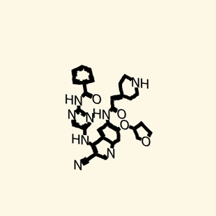 N#CC1=C(Nc2cnc(NC(=O)c3ccccc3)nc2)C2=CC(NC(=O)C=C3CCNCC3)=C(OC3CCOC3)CC2N=C1